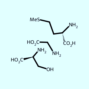 CSCC[C@H](N)C(=O)O.NCC(=O)O.N[C@@H](CO)C(=O)O